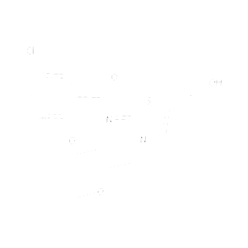 COc1ccc(Cl)cc1C(=O)N=c1sc(C(C)(C)O)c(C)n1CC1CCCCO1